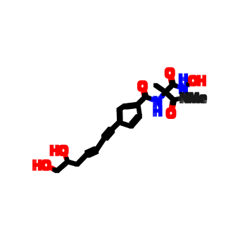 CNC(=O)C(C)(NC(=O)c1ccc(C#CC#CCC(O)CO)cc1)C(=O)NO